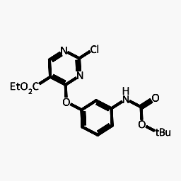 CCOC(=O)c1cnc(Cl)nc1Oc1cccc(NC(=O)OC(C)(C)C)c1